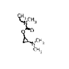 CCN(C)C(=O)OC1CC1N(C)C